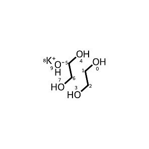 OCCO.OCCO.[K+].[OH-]